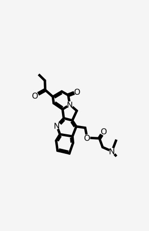 CCC(=O)c1cc2n(c(=O)c1)Cc1c-2nc2ccccc2c1COC(=O)CN(C)C